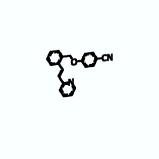 N#Cc1ccc(OCc2ccccc2/C=C/c2ccccn2)cc1